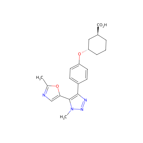 Cc1ncc(-c2c(-c3ccc(O[C@H]4CCC[C@H](C(=O)O)C4)cc3)nnn2C)o1